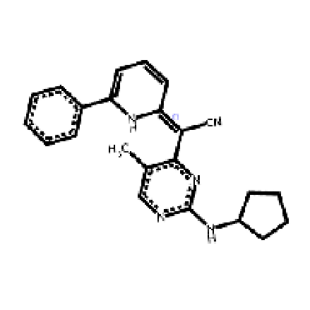 Cc1cnc(NC2CCCC2)nc1/C(C#N)=C1/C=CC=C(c2ccccc2)N1